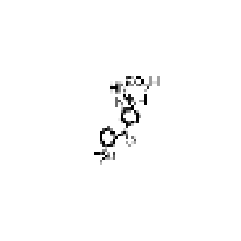 [CH3][Sn]([CH3])([CH3])[c]1cccc(C(=O)c2ccc3[nH]c(NC(=O)O)nc3c2)c1